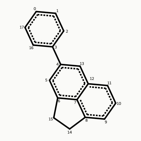 c1ccc(-c2cc3c4c(cccc4c2)CC3)cc1